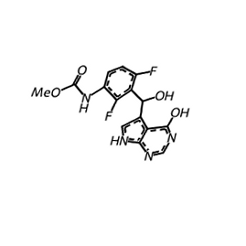 COC(=O)Nc1ccc(F)c(C(O)c2c[nH]c3ncnc(O)c23)c1F